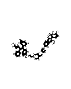 O=C1CCC(N2C(=O)c3ccc(N4CC5CC4CN5CC4CCN(CCOc5ccc(C(=C(CCCl)c6ccccc6)c6ccccc6)cc5)CC4)cc3C2=O)C(=O)N1